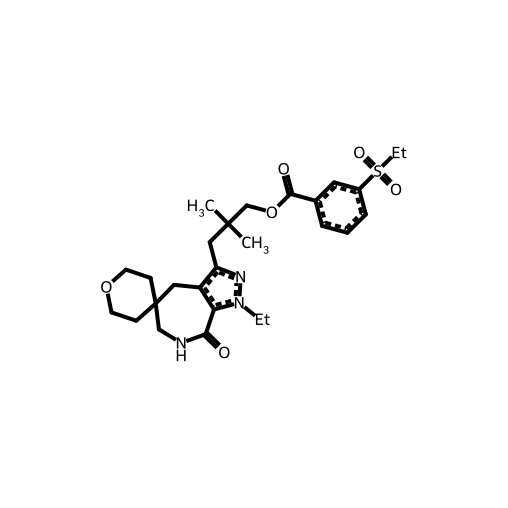 CCn1nc(CC(C)(C)COC(=O)c2cccc(S(=O)(=O)CC)c2)c2c1C(=O)NCC1(CCOCC1)C2